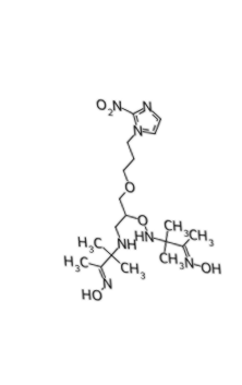 CC(=NO)C(C)(C)NCC(COCCCn1ccnc1[N+](=O)[O-])ONC(C)(C)C(C)=NO